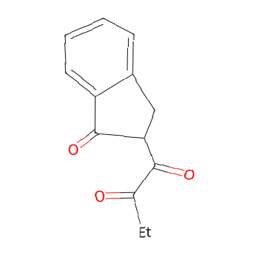 CCC(=O)C(=O)C1Cc2ccccc2C1=O